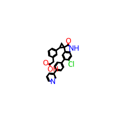 O=C(O)Cc1cccc(C2CC23C(=O)Nc2cc(Cl)c(-c4ccc(-c5cccnc5)cc4)cc23)c1